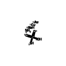 N.O=S(=O)(O)S.[Au].[Cu].[NaH]